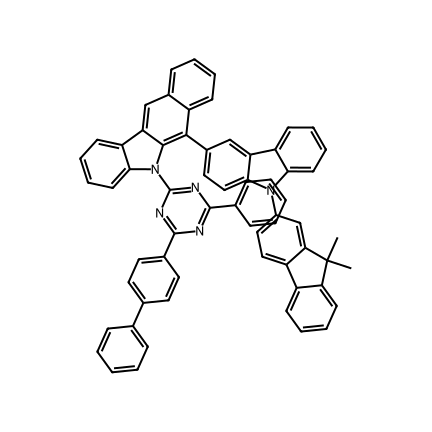 CC1(C)c2ccccc2-c2ccc(-n3c4ccccc4c4cc(-c5c6ccccc6cc6c7ccccc7n(-c7nc(-c8ccccc8)nc(-c8ccc(-c9ccccc9)cc8)n7)c56)ccc43)cc21